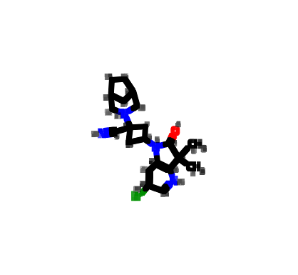 CC1(C)C(=O)N(C2CC(C#N)(N3CC4CCC(C4)C3)C2)c2cc(Br)cnc21